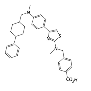 CN(CC1CCC(c2ccccc2)CC1)c1ccc(-c2csc(N(C)Cc3ccc(C(=O)O)cc3)n2)cc1